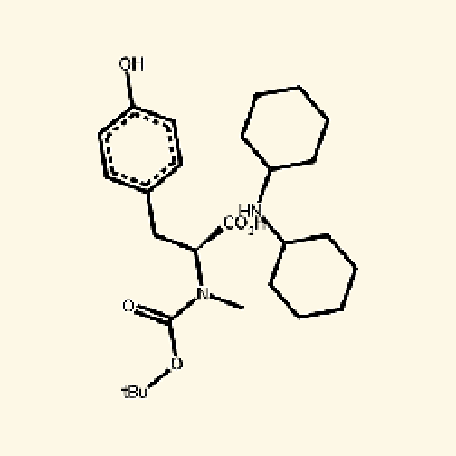 C1CCC(NC2CCCCC2)CC1.CN(C(=O)OC(C)(C)C)[C@@H](Cc1ccc(O)cc1)C(=O)O